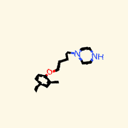 Cc1ccc(OCCCCN2CCNCC2)c(C)c1